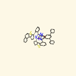 c1ccc(-c2cc(-c3ccccc3)cc(-c3nc(-c4ccccc4-c4cccc5c4sc4ccc6ccccc6c45)nc(-c4cccc5sc6cccc(-c7ccccc7)c6c45)n3)c2)cc1